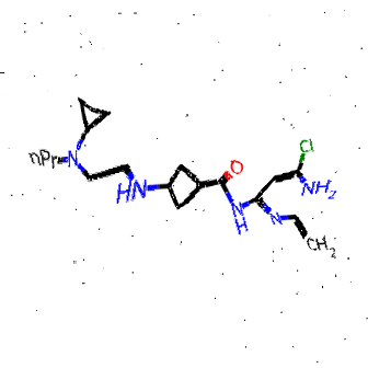 C=C/N=C(\C=C(/N)Cl)NC(=O)C1CC(NCCN(CCC)C2CC2)C1